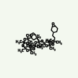 C[Si](C)(CCC1CCC2OC2C1)O[Si](C)(C)O[Si](C)(C)O[Si](C)(C)O[Si](C)(C)O[Si](C)(C)O[Si](C)(C)O[Si](C)(C)O[Si](C)(C)C12CCC(CC1)C2